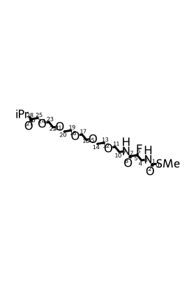 CSC(=O)NCC(F)C(=O)NCCOCCOCCOCCOCCOCC(=O)C(C)C